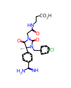 C[C@]1(c2ccc(C(=N)N)cc2)C(=O)N(CC(=O)NCCC(=O)O)C(=O)N1Cc1ccccc1.Cl